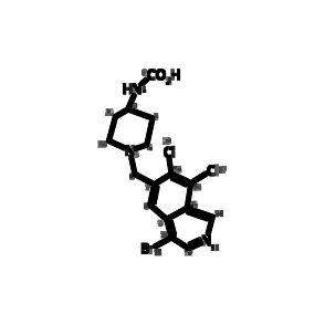 O=C(O)NC1CCN(Cc2cc3c(Br)cncc3c(Cl)c2Cl)CC1